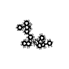 CC1(C)C(c2ccccc2)=Cc2ccc3nc(-n4c5ccc(-c6ccc7c(c6)C(C)(C)c6ccccc6N7c6ccccc6)cc5c5c6ccccc6ccc54)nc(-c4ccccc4)c3c21